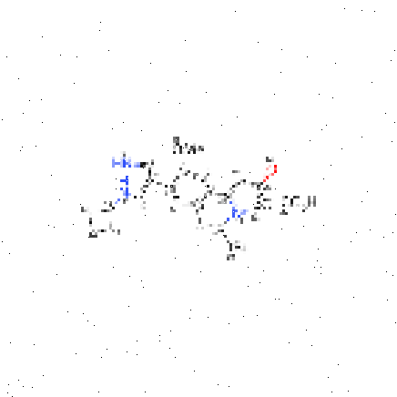 COc1cc2c(cc1/C(C=N)=C/NC1CCC1)CC(C(C)(C)C)n1cc(C(=O)O)c(=O)cc1-2